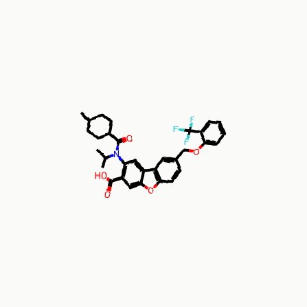 CC1CCC(C(=O)N(c2cc3c(cc2C(=O)O)oc2ccc(COc4ccccc4C(F)(F)F)cc23)C(C)C)CC1